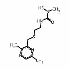 Cc1cnc(C)c(CSCCNC(=O)N(C)S)n1